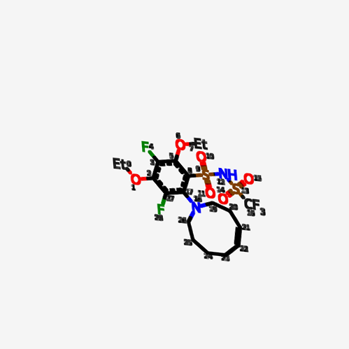 CCOc1c(F)c(OCC)c(S(=O)(=O)NS(=O)(=O)C(F)(F)F)c(N2CC/C=C\CCCC2)c1F